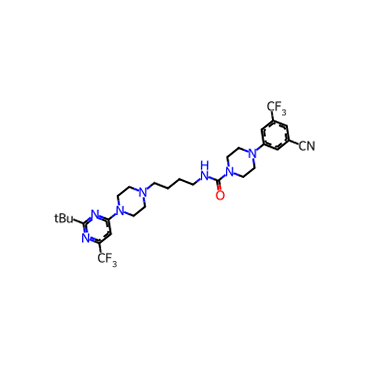 CC(C)(C)c1nc(N2CCN(CCCCNC(=O)N3CCN(c4cc(C#N)cc(C(F)(F)F)c4)CC3)CC2)cc(C(F)(F)F)n1